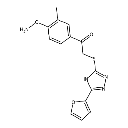 Cc1cc(C(=O)CSc2nnc(-c3ccco3)[nH]2)ccc1ON